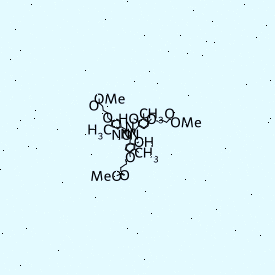 COC(=O)CCCOc1ccc(-c2nc(-c3ccc(OCCCC(=O)OC)c(C)c3O)nc(-c3ccc(OCCCC(=O)OC)c(C)c3N=O)n2)c(O)c1C